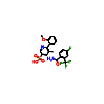 COc1ccccc1-c1ncc(S(=O)(=O)O)cc1C.NC(=O)c1ccc(F)cc1C(F)(F)F